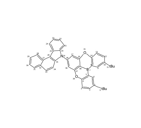 CC(C)(C)c1ccc2c(c1)B1c3cc(C(C)(C)C)ccc3Oc3cc(-n4c5ccccc5c5c6ccccc6ccc54)cc(c31)O2